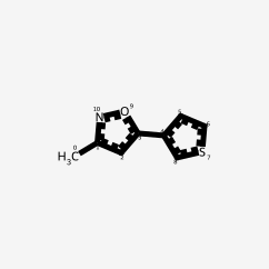 Cc1cc(-c2ccsc2)on1